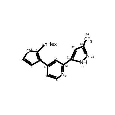 CCCCCCc1occc1-c1ccnc(-c2cc(C(F)(F)F)n[nH]2)c1